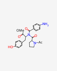 COC(=O)C(Cc1ccc(O)cc1)N(C(=O)c1ccc(N)cc1)C(=O)C1CCCN1C(C)=O